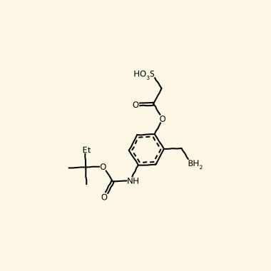 BCc1cc(NC(=O)OC(C)(C)CC)ccc1OC(=O)CS(=O)(=O)O